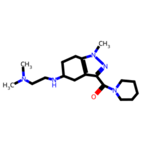 CN(C)CCNC1CCc2c(c(C(=O)N3CCCCC3)nn2C)C1